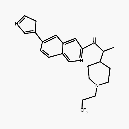 CC(Nc1cc2cc(C3=CN=CC3)ccc2cn1)C1CCN(CCC(F)(F)F)CC1